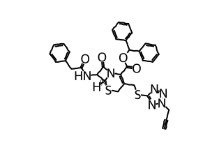 C#CCn1nnc(SCC2=C(C(=O)OC(c3ccccc3)c3ccccc3)N3C(=O)C(NC(=O)Cc4ccccc4)[C@H]3SC2)n1